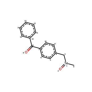 C[Te](=O)Cc1ccc(C(=O)c2ccccc2)cc1